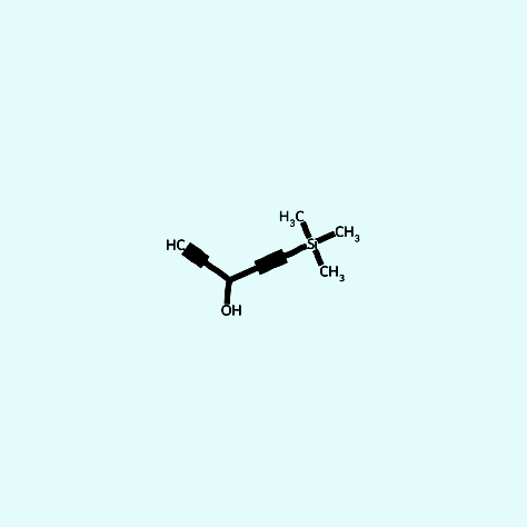 C#CC(O)C#C[Si](C)(C)C